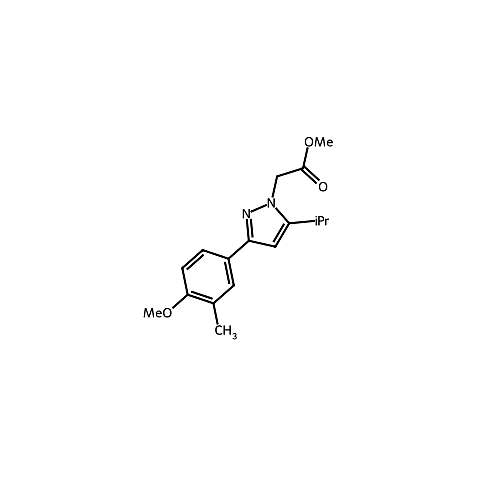 COC(=O)Cn1nc(-c2ccc(OC)c(C)c2)cc1C(C)C